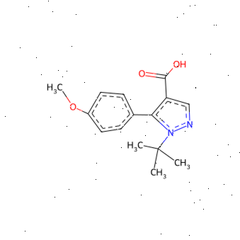 COc1ccc(-c2c(C(=O)O)cnn2C(C)(C)C)cc1